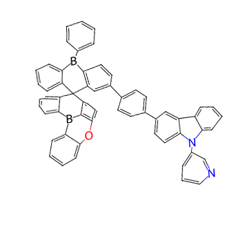 c1ccc(B2c3ccccc3C3(c4cc(-c5ccc(-c6ccc7c(c6)c6ccccc6n7-c6cccnc6)cc5)ccc42)c2ccccc2B2c4ccccc4Oc4cccc3c42)cc1